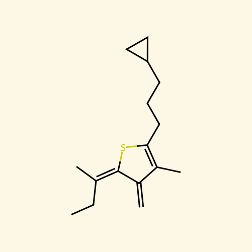 C=c1c(C)c(CCCC2CC2)s/c1=C(\C)CC